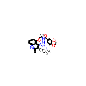 CCC(COc1cccc2nc(C)c(C(=O)O)c(N)c12)NC(=O)c1ccc2c(c1)OCCO2